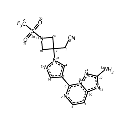 N#CCC1(n2cc(-c3nccc4nc(N)nn34)cn2)CN(S(=O)(=O)C(F)(F)F)C1